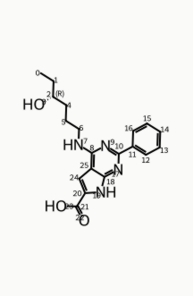 CC[C@@H](O)CCCNc1nc(-c2ccccc2)nc2[nH]c(C(=O)O)cc12